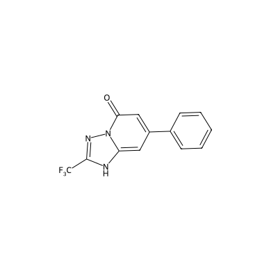 O=c1cc(-c2ccccc2)cc2[nH]c(C(F)(F)F)nn12